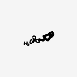 C=CC(=O)OCCC1CC2C3CCC(C3)C2C1